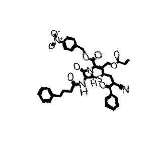 CCC(=O)OCC1=C(C(=O)OCc2ccc([N+](=O)[O-])cc2)N2C(=O)C(NC(=O)CCCc3ccccc3)[C@@H]2SC1CC(C#N)C(=O)c1ccccc1